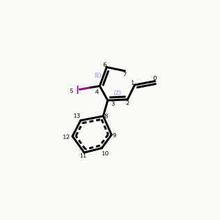 C=C/C=C(\C(I)=C/C)c1ccccc1